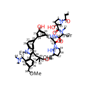 C=CC(=O)N1CC[C@@](O)(C(=O)N(C)[C@H](C(=O)N[C@H]2Cc3cc(O)cc(c3)-c3ccc4c(c3)c(c(-c3ccc(COC)cc3CN(C)C)n4CC)CC(C)(C)COCC3(C=O)CCCN(N3)C2=O)C(C)C)C1